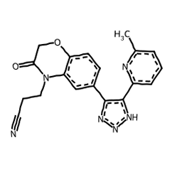 Cc1cccc(-c2[nH]nnc2-c2ccc3c(c2)N(CCC#N)C(=O)CO3)n1